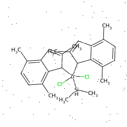 CC1=Cc2c(C)ccc(C)c2[CH]1[Zr]([Cl])([Cl])([CH]1C(C)=Cc2c(C)ccc(C)c21)[SiH](C)C